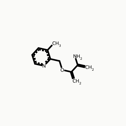 C=C(N)C(=C)OCc1ncccc1C